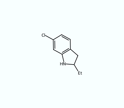 CCC1Cc2ccc(Cl)cc2N1